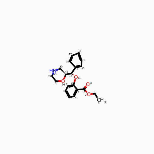 CCOC(=O)c1ccccc1O[C@@H](c1ccccc1)[C@@H]1CNCCO1